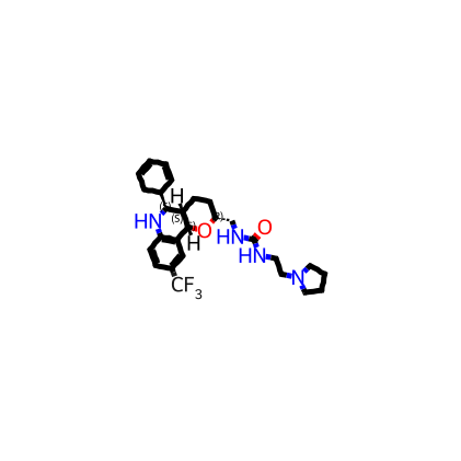 O=C(NCCN1CCCC1)NC[C@H]1CC[C@@H]2[C@H](O1)c1cc(C(F)(F)F)ccc1N[C@H]2C1C=CC=CC1